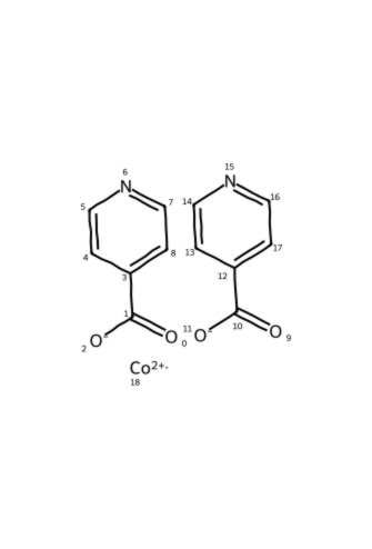 O=C([O-])c1ccncc1.O=C([O-])c1ccncc1.[Co+2]